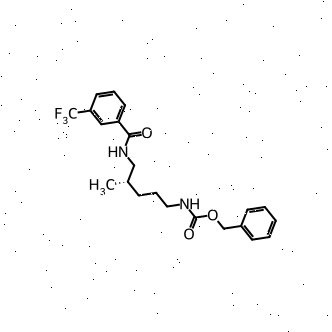 C[C@@H](CCCNC(=O)OCc1ccccc1)CNC(=O)c1cccc(C(F)(F)F)c1